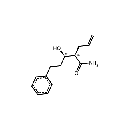 C=CC[C@@H](C(N)=O)[C@H](O)CCc1ccccc1